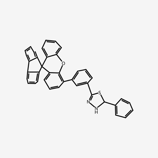 c1ccc(C2NN=C(c3cccc(-c4cccc5c4Oc4ccccc4C54c5ccccc5-c5ccccc54)c3)S2)cc1